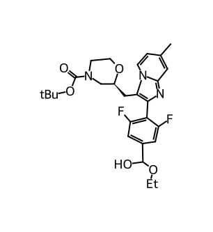 CCOC(O)c1cc(F)c(-c2nc3cc(C)ccn3c2C[C@H]2CN(C(=O)OC(C)(C)C)CCO2)c(F)c1